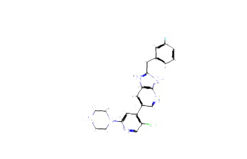 Fc1cccc(Cc2nc3cc(-c4cc(N5CCNCC5)ncc4Cl)cnc3[nH]2)c1